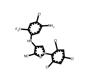 N#Cc1nn(-c2c(Cl)cc(Cl)cc2Cl)cc1Nc1cc(N)c(Cl)cc1C(F)(F)F